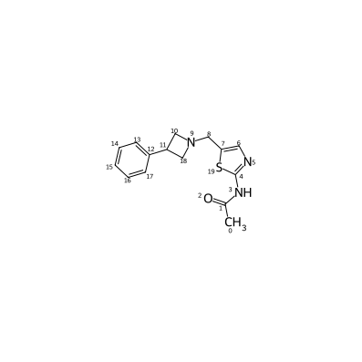 CC(=O)Nc1ncc(CN2CC(c3ccccc3)C2)s1